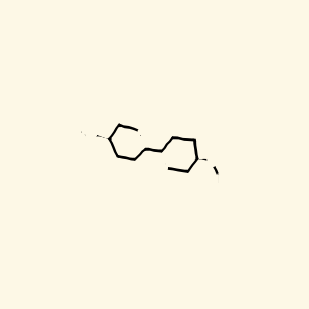 CCO[C@H]1CC[C@H]([C@H]2CC[C@H](C#N)CC2)CC1